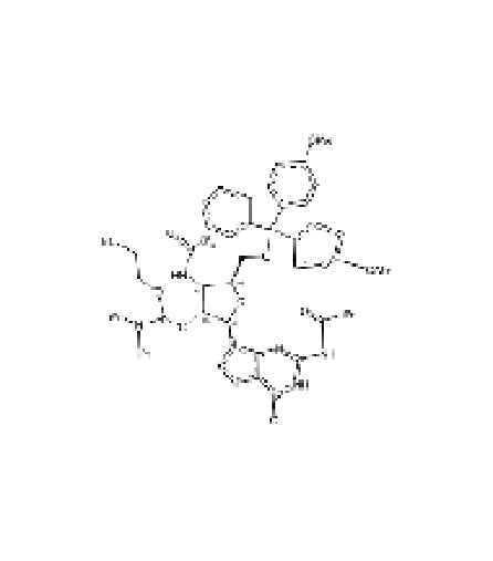 COc1ccc(C(OC[C@H]2O[C@@H](n3cnc4c(=O)[nH]c(NC(=O)C(C)C)nc43)[C@H](OP(OCCC#N)N(C(C)C)C(C)C)[C@@H]2NC(=O)C(F)(F)F)(c2ccccc2)c2ccc(OC)cc2)cc1